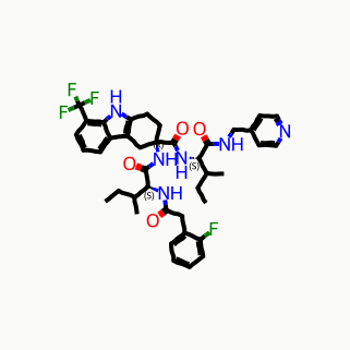 CCC(C)[C@H](NC(=O)Cc1ccccc1F)C(=O)N[C@]1(C(=O)N[C@H](C(=O)NCc2ccncc2)C(C)CC)CCc2[nH]c3c(C(F)(F)F)cccc3c2C1